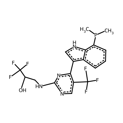 CP(C)c1cccc2c(-c3nc(NCC(O)C(F)(F)F)ncc3C(F)(F)F)c[nH]c12